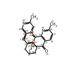 Cc1cnc(OC2CC3CCC2N(C(=O)c2ccc(C)nc2-c2ncccn2)C3)cn1